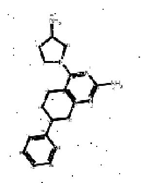 Nc1nc2c(c(N3CCC(N)C3)n1)CCC(c1ccccc1)C2